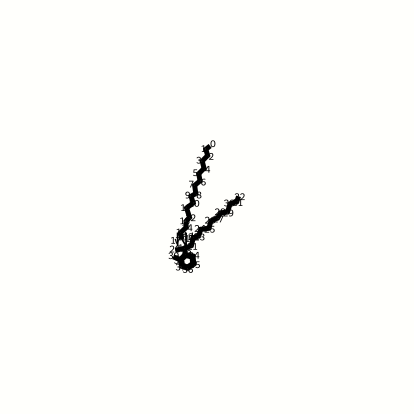 CCCCCCCCCCCCCCCC[N+](C)(C)C(C)(CCCCCCCCCCCC)c1ccccc1C